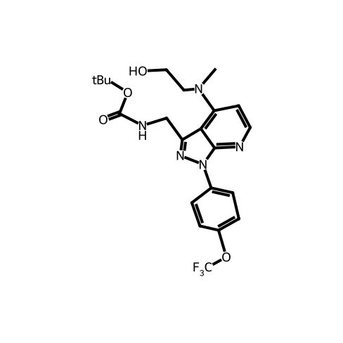 CN(CCO)c1ccnc2c1c(CNC(=O)OC(C)(C)C)nn2-c1ccc(OC(F)(F)F)cc1